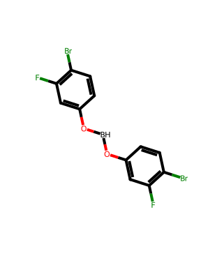 Fc1cc(OBOc2ccc(Br)c(F)c2)ccc1Br